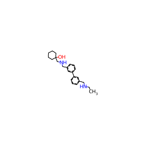 CCNCc1cccc(-c2cccc(CNCC3(O)CCCCC3)c2)c1